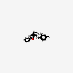 Cc1ccc(Nc2ncnc(O[C@H]3CC4CCC3N4C(=O)OC(C)C)c2C)c(Cl)c1